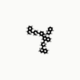 c1ccc2nc(-n3c4ccc(-c5ccc(-c6nccc7ccccc67)cn5)cc4c4cc(-c5ccc(-c6nccc7ccccc67)cn5)c5ccccc5c43)ccc2c1